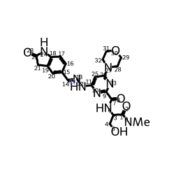 CNC(=O)C(CO)NC(=O)c1nc(N/N=C/c2ccc3c(c2)CC(=O)N3)cc(N2CCOCC2)n1